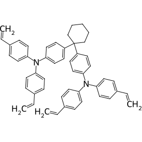 C=Cc1ccc(N(c2ccc(C=C)cc2)c2ccc(C3(c4ccc(N(c5ccc(C=C)cc5)c5ccc(C=C)cc5)cc4)CCCCC3)cc2)cc1